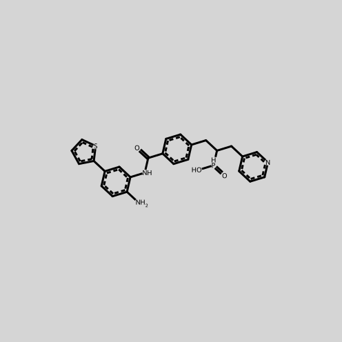 Nc1ccc(-c2cccs2)cc1NC(=O)c1ccc(CC(Cc2cccnc2)[PH](=O)O)cc1